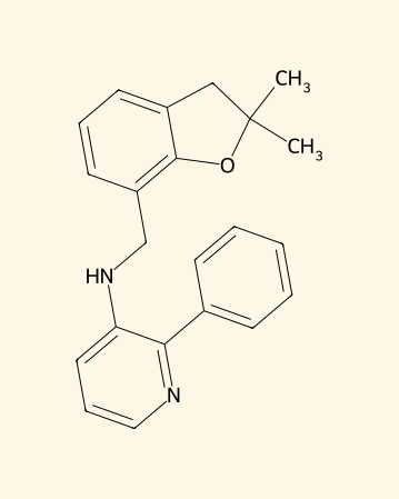 CC1(C)Cc2cccc(CNc3cccnc3-c3ccccc3)c2O1